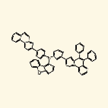 c1ccc(-c2c(-c3ccccc3)c3cc(-c4cccc(N(c5ccc(-c6ccc7c(ccc8ccccc87)c6)cc5)c5cccc6oc7ccccc7c56)c4)ccc3c3ccccc23)cc1